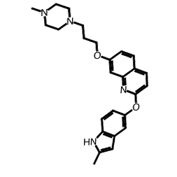 Cc1cc2cc(Oc3ccc4ccc(OCCCN5CCN(C)CC5)cc4n3)ccc2[nH]1